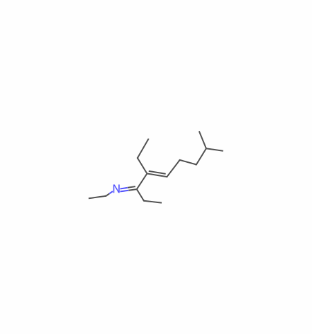 CC/N=C(CC)/C(=C/CCC(C)C)CC